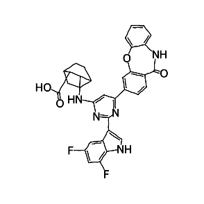 O=C1Nc2ccccc2Oc2cc(-c3cc(NC4C5CCC(CC5)C4C(=O)O)nc(-c4c[nH]c5c(F)cc(F)cc45)n3)ccc21